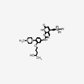 CC(C)[Si](C#Cc1cc(=O)[nH]c2nc(Nc3ccc(N4CCN(C)CC4)c(OCCC[C@H](C)O)c3)ncc12)(C(C)C)C(C)C